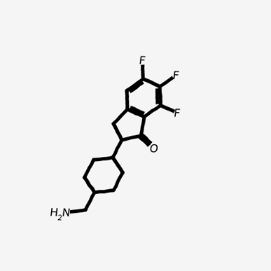 NCC1CCC(C2Cc3cc(F)c(F)c(F)c3C2=O)CC1